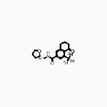 [2H]C([2H])([2H])c1cc(C(=O)NC[C@@H]2CCCO2)cc2c1C(=O)CCC2